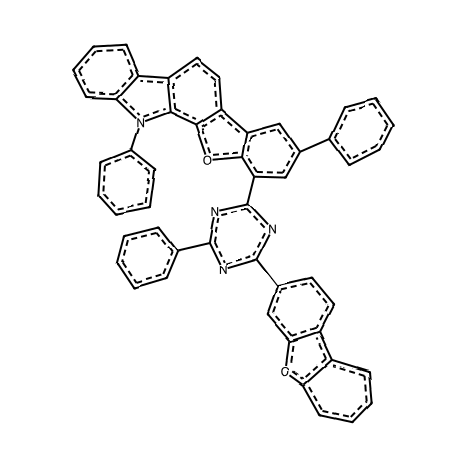 c1ccc(-c2cc(-c3nc(-c4ccccc4)nc(-c4ccc5c(c4)oc4ccccc45)n3)c3oc4c(ccc5c6ccccc6n(-c6ccccc6)c54)c3c2)cc1